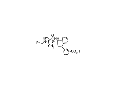 Cc1c(S(=O)(=O)Nc2ccc(-c3cccc(C(=O)O)c3)c3ccccc23)cnn1CC(C)C